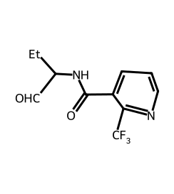 CCC(C=O)NC(=O)c1cccnc1C(F)(F)F